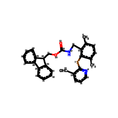 Cc1ccc(C(F)(F)F)c(Sc2ncccc2C=O)c1CNC(=O)OCC1c2ccccc2-c2ccccc21